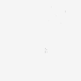 O=C(O)N[C@@H](CCSC(F)(F)F)C1CCc2ccccc21